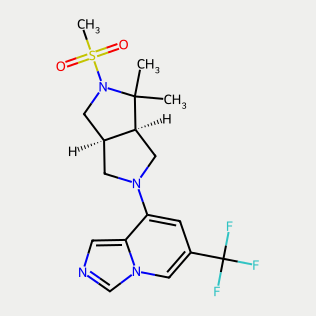 CC1(C)[C@H]2CN(c3cc(C(F)(F)F)cn4cncc34)C[C@H]2CN1S(C)(=O)=O